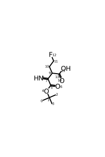 CC(C)(C)OC(=O)C(=N)C(CCF)C(=O)O